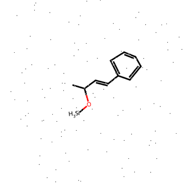 CC(C=Cc1ccccc1)O[SiH3]